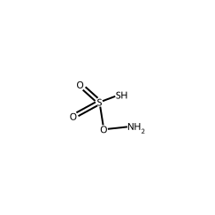 NOS(=O)(=O)S